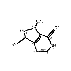 CCCC1NN(C)c2c1nc[nH]c2=O